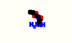 Cc1cc(C(=N)N)ccc1C(=O)N1CCN(S(=O)(=O)c2ccc3ccccc3c2)CC1